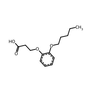 CCCCCOc1ccccc1OCCC(=O)O